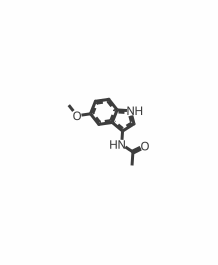 COc1ccc2[nH]cc(NC(C)=O)c2c1